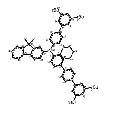 CC(C)(C)c1cc(-c2ccc(-c3ccc(N(c4ccc(-c5cc(C(C)(C)C)cc(C(C)(C)C)c5)cc4)c4ccc5c(c4)C(C)(C)c4ccccc4-5)c4c3CCCC4)cc2)cc(C(C)(C)C)c1